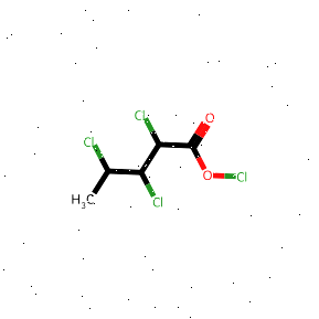 CC(Cl)C(Cl)C(Cl)C(=O)OCl